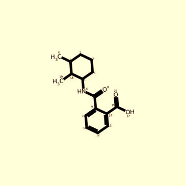 CC1CCCC(NC(=O)c2ccccc2C(=O)O)C1C